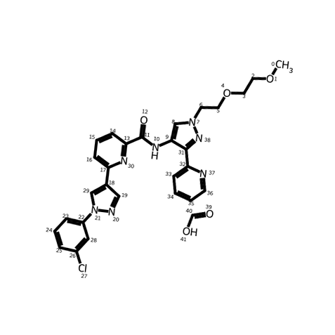 COCCOCCn1cc(NC(=O)c2cccc(-c3cnn(-c4cccc(Cl)c4)c3)n2)c(-c2ccccn2)n1.O=CO